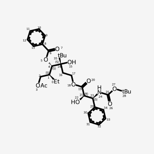 CC[C@@H](COC(C)=O)[C@H](OC(=O)c1ccccc1)[C@](O)(CCOC(=O)[C@H](O)[C@@H](NC(=O)OC(C)(C)C)c1ccccc1)C(C)(C)C